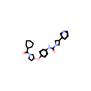 O=C(Nc1ccc(O[C@@H]2CCN(C(=O)C3CCCCC3)C2)cc1)N1CC(c2cccnc2)C1